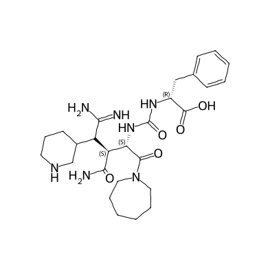 N=C(N)C(C1CCCNC1)[C@H](C(N)=O)[C@H](NC(=O)N[C@H](Cc1ccccc1)C(=O)O)C(=O)N1CCCCCC1